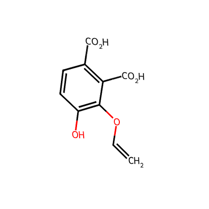 C=COc1c(O)ccc(C(=O)O)c1C(=O)O